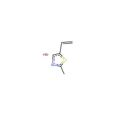 Br.C=Cc1cnc(C)s1